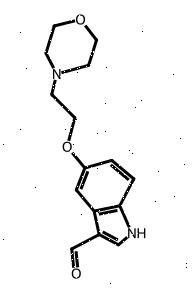 O=Cc1c[nH]c2ccc(OCCN3CCOCC3)cc12